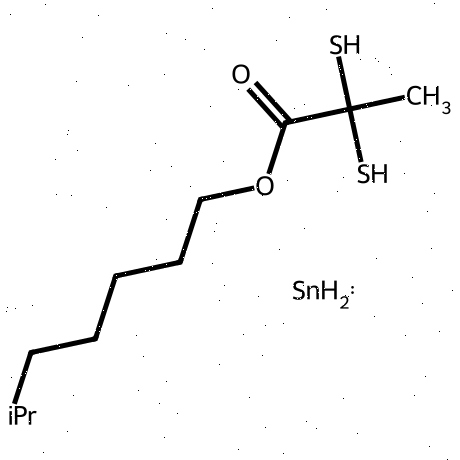 CC(C)CCCCCOC(=O)C(C)(S)S.[SnH2]